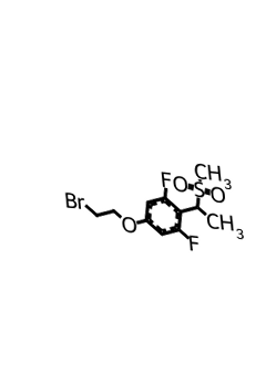 CC(c1c(F)cc(OCCBr)cc1F)S(C)(=O)=O